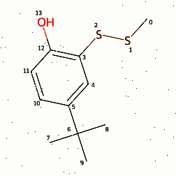 CSSc1cc(C(C)(C)C)ccc1O